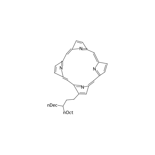 CCCCCCCCCCC(CCCCCCCC)CCC1=CC2=CC3=NC(=CC4=NC(=CC5=NC(=CC1=N2)C=C5)C=C4)C=C3